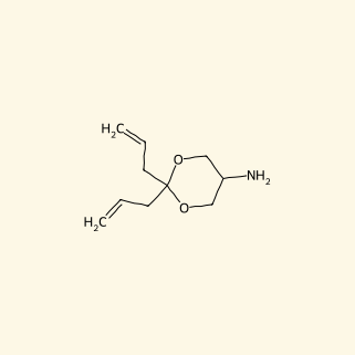 C=CCC1(CC=C)OCC(N)CO1